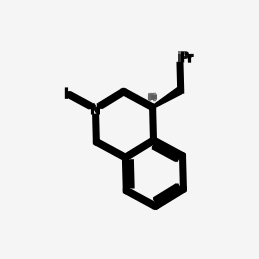 CC(C)C[C@@H]1CN(I)Cc2ccccc21